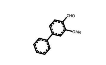 COc1cc(-c2ccccc2)ccc1C=O